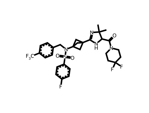 CC1(C)N=C(C23CC(N(Cc4ccc(C(F)(F)F)cc4)S(=O)(=O)c4ccc(F)cc4)(C2)C3)NC1C(=O)N1CCC(F)(F)CC1